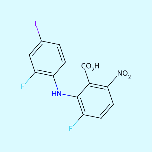 O=C(O)c1c([N+](=O)[O-])ccc(F)c1Nc1ccc(I)cc1F